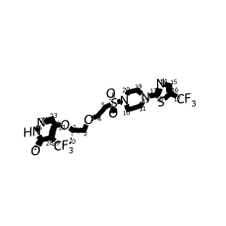 C[C@@H](COCCS(=O)(=O)N1CCN(c2ncc(C(F)(F)F)s2)CC1)Oc1cn[nH]c(=O)c1C(F)(F)F